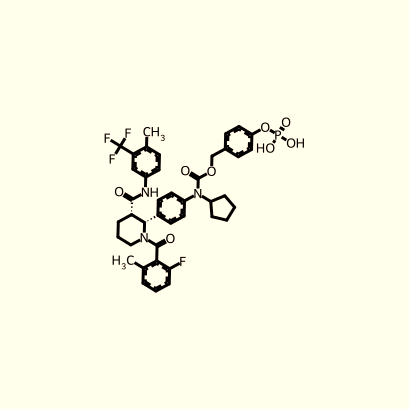 Cc1ccc(NC(=O)[C@H]2CCCN(C(=O)c3c(C)cccc3F)[C@H]2c2ccc(N(C(=O)OCc3ccc(OP(=O)(O)O)cc3)C3CCCC3)cc2)cc1C(F)(F)F